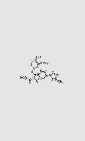 COc1cc(Cn2c(NC(=O)O)nc3cc(-c4cnn(C)c4)cnc32)ccc1O